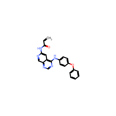 C=CC(=O)Nc1cc2c(Nc3ccc(Oc4ccccc4)cc3)ncnc2cn1